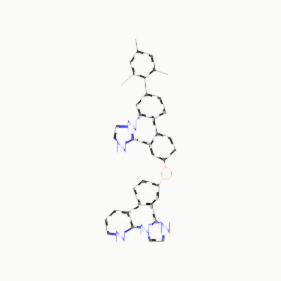 Cc1cc(C)c(-c2ccc3c4ccc(Oc5ccc6c7cccnc7n7ccnc7c6c5)cc4c4nccn4c3c2)c(C)c1